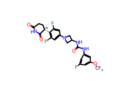 O=C1CC[C@H](c2c(F)cc(N3CC(NC(=O)Nc4cc(F)cc(OC(F)(F)F)c4)C3)cc2F)C(=O)N1